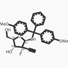 C#C[C@]1(F)[C@H](BC(c2ccccc2)(c2ccc(OC)cc2)c2ccc(OC)cc2)O[C@H](CO)[C@H]1O